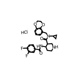 Cl.O=C(NC1CCNCC1C(=O)N(Cc1cccc2c1OCCO2)C1CC1)c1ccc(F)c(F)c1